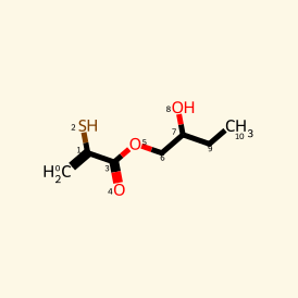 C=C(S)C(=O)OCC(O)CC